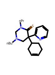 CCCCN1CN(CCC)C(=S)C(c2ccccn2)(C2CC=CCC2)C1